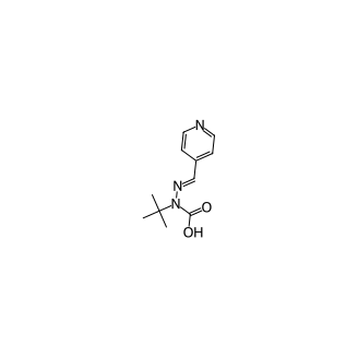 CC(C)(C)N(N=Cc1ccncc1)C(=O)O